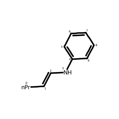 [CH2]CCC=CNc1ccccc1